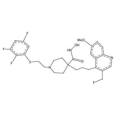 COc1ccc2ncc(CF)c(CCCC3(C(=O)NO)CCN(CCSc4cc(F)cc(F)c4F)CC3)c2c1